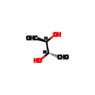 O=C[C@@H](O)[C@@H](O)C=O